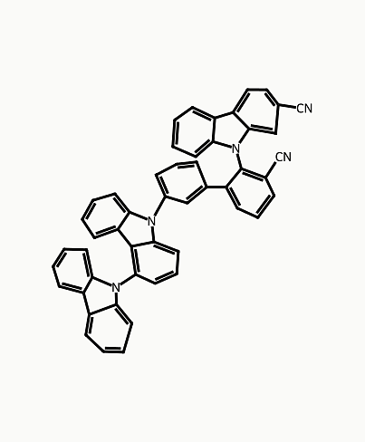 N#Cc1ccc2c3ccccc3n(-c3c(C#N)cccc3-c3cccc(-n4c5ccccc5c5c(-n6c7ccccc7c7ccccc76)cccc54)c3)c2c1